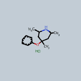 CC1CC(C)(Oc2ccccc2)CC(C)N1.Cl